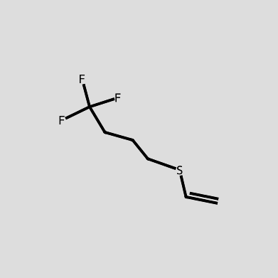 C=CSCCCC(F)(F)F